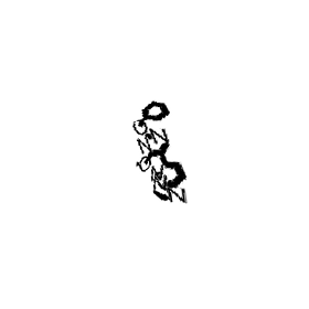 COc1nc(Oc2ccccc2)ncc1-c1ccc2nccn2n1